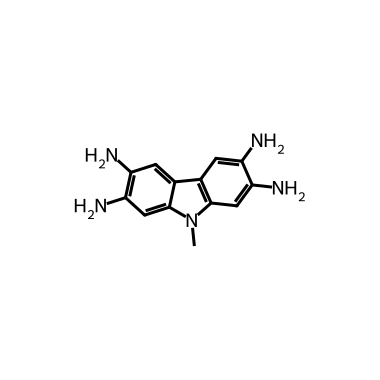 Cn1c2cc(N)c(N)cc2c2cc(N)c(N)cc21